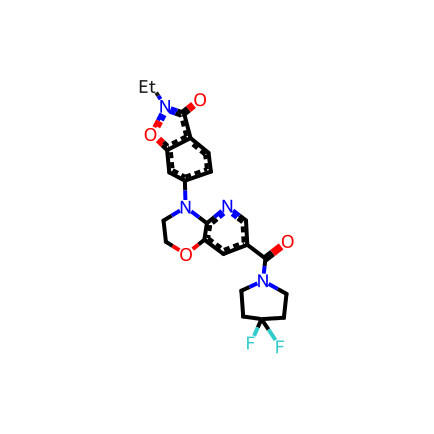 CCn1oc2cc(N3CCOc4cc(C(=O)N5CCC(F)(F)CC5)cnc43)ccc2c1=O